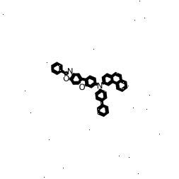 c1ccc(-c2ccc(N(c3ccc4c(c3)oc3cc5oc(-c6ccccc6)nc5cc34)c3ccc4ccc5ccccc5c4c3)cc2)cc1